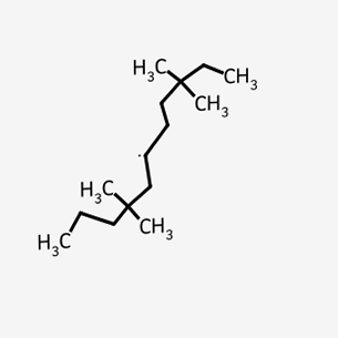 CCCC(C)(C)C[CH]CCC(C)(C)CC